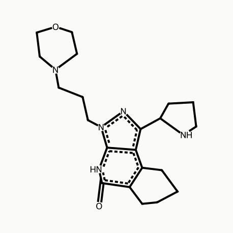 O=c1[nH]c2c(c(C3CCCN3)nn2CCCN2CCOCC2)c2c1CCCC2